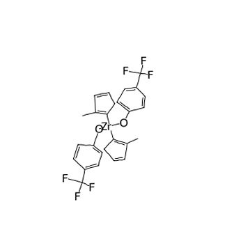 CC1=[C]([Zr]([O]c2ccc(C(F)(F)F)cc2)([O]c2ccc(C(F)(F)F)cc2)[C]2=C(C)C=CC2)CC=C1